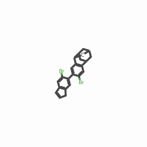 Brc1cc2c(cc1-c1cc3c(cc1Br)C1CC4CC(C1)C3C4)CC=C2